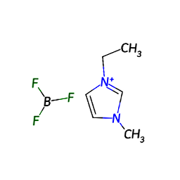 CC[n+]1ccn(C)c1.FB(F)F